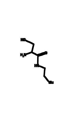 CC(C)(C)CCNC(=O)C(N)CO